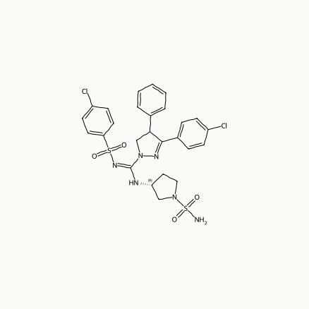 NS(=O)(=O)N1CC[C@@H](NC(=NS(=O)(=O)c2ccc(Cl)cc2)N2CC(c3ccccc3)C(c3ccc(Cl)cc3)=N2)C1